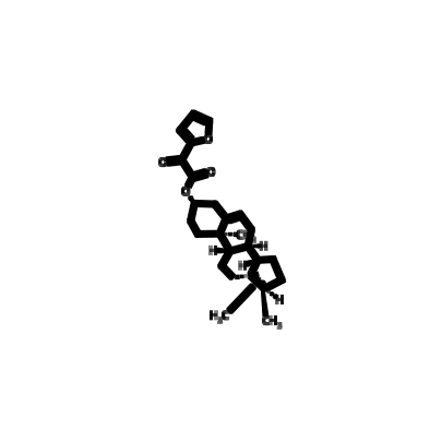 C[C@H]1[C@H]2CC[C@H]3[C@@H]4CC=C5C[C@@H](OC(=O)C(=O)c6ccco6)CC[C@]5(C)[C@H]4CC[C@]23CN1C